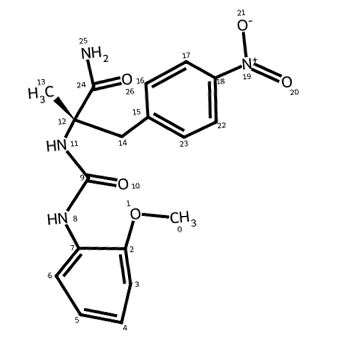 COc1ccccc1NC(=O)N[C@@](C)(Cc1ccc([N+](=O)[O-])cc1)C(N)=O